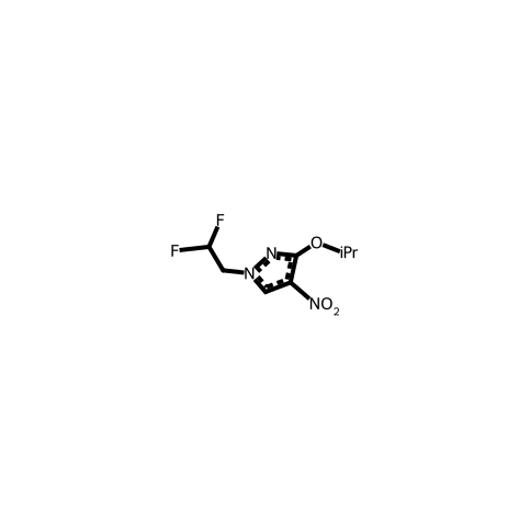 CC(C)Oc1nn(CC(F)F)cc1[N+](=O)[O-]